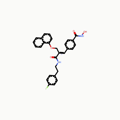 O=C(NCCc1ccc(F)cc1)/C(=C/c1ccc(C(=O)NO)cc1)COc1cccc2ccccc12